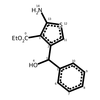 CCOC(=O)c1c(C(O)c2ccccc2)csc1N